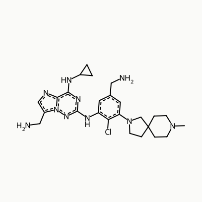 CN1CCC2(CC1)CCN(c1cc(CN)cc(Nc3nc(NC4CC4)c4ncc(CN)n4n3)c1Cl)C2